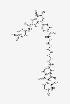 CCn1cc(-c2ccc(C(=O)NCCCCCCCCNc3ccc4c(c3)C(=O)N(C3CCC(=O)NC3=O)C4=O)cc2)c2sc(C(=N)NC3CCS(=O)(=O)CC3)cc2c1=O